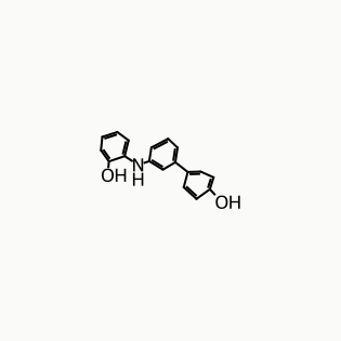 Oc1ccc(-c2cccc(Nc3ccccc3O)c2)cc1